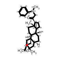 CCOC[C@]12CC[C@@](C)(O)C[C@@H]1CC[C@H]1[C@@H]3CC[C@H](C(=O)CN(C)c4ccccc4)[C@@]3(C)CC[C@@H]12